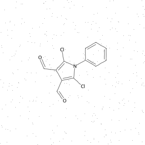 O=Cc1c(C=O)c(Cl)n(-c2ccccc2)c1Cl